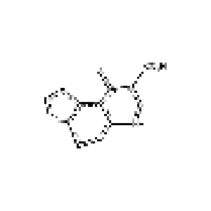 O=C(O)c1c[nH]c2ccc3sccc3c2c1=O